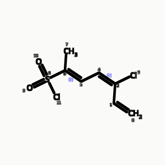 C=C/C(Cl)=C\C=C(/C)S(=O)(=O)Cl